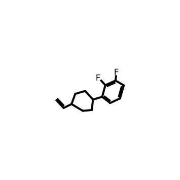 C=CC1CCC(c2cccc(F)c2F)CC1